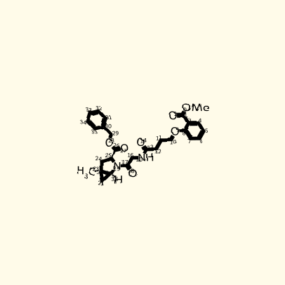 COC(=O)c1ccccc1OCCCC(=O)NCC(=O)N1[C@H]2C[C@@]2(C)C[C@H]1C(=O)OCc1ccccc1